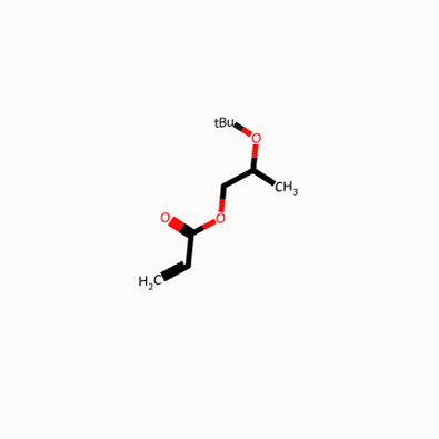 C=CC(=O)OCC(C)OC(C)(C)C